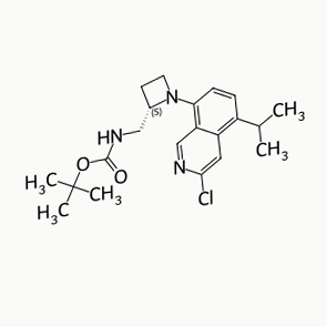 CC(C)c1ccc(N2CC[C@H]2CNC(=O)OC(C)(C)C)c2cnc(Cl)cc12